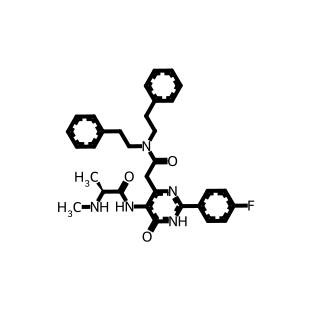 CN[C@@H](C)C(=O)Nc1c(CC(=O)N(CCc2ccccc2)CCc2ccccc2)nc(-c2ccc(F)cc2)[nH]c1=O